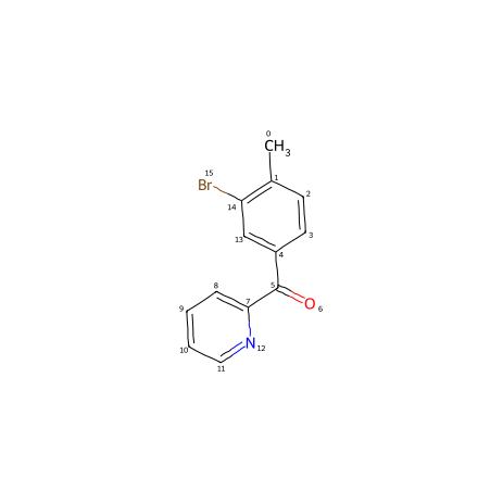 Cc1ccc(C(=O)c2ccccn2)cc1Br